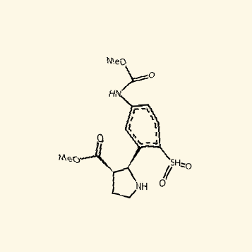 COC(=O)Nc1ccc([SH](=O)=O)c([C@H]2NCC[C@H]2C(=O)OC)c1